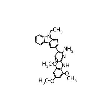 CCn1c2ccccc2c2cc(-c3cnc(Nc4c(OC)cc(OC)cc4OC)nc3N)ccc21